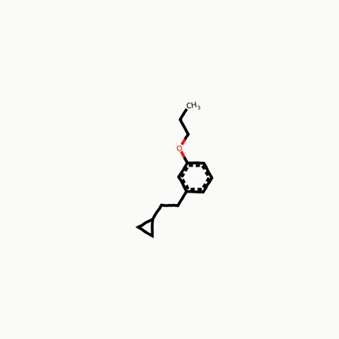 CCCOc1cccc(CCC2CC2)c1